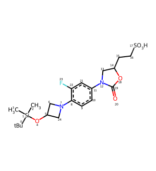 CC(C)(C)[Si](C)(C)OC1CN(c2ccc(N3CC(CCS(=O)(=O)O)OC3=O)cc2F)C1